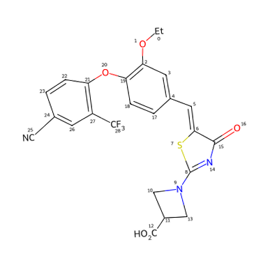 CCOc1cc(/C=C2\SC(N3CC(C(=O)O)C3)=NC2=O)ccc1Oc1ccc(C#N)cc1C(F)(F)F